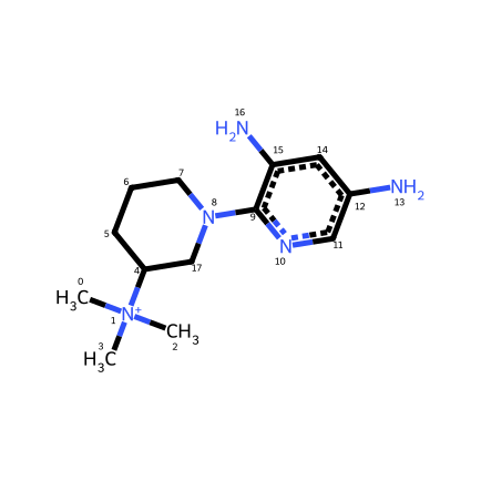 C[N+](C)(C)C1CCCN(c2ncc(N)cc2N)C1